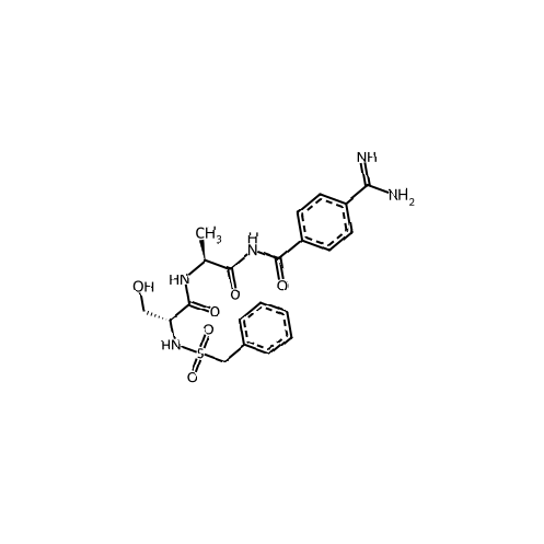 C[C@H](NC(=O)[C@@H](CO)NS(=O)(=O)Cc1ccccc1)C(=O)NC(=O)c1ccc(C(=N)N)cc1